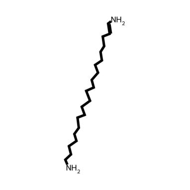 NC=CCCCCCCCCCCCCCCCCCCCN